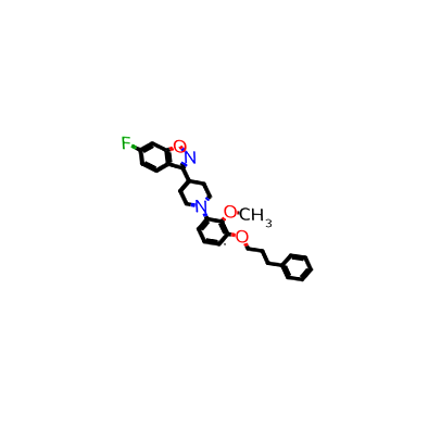 COc1c(OCCCc2ccccc2)[c]ccc1N1CCC(c2noc3cc(F)ccc23)CC1